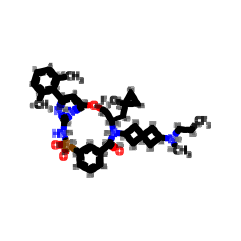 Cc1cccc(C)c1-c1cc2nc(n1)NS(=O)(=O)c1cccc(c1)C(=O)N(C1CC3(CC(N(C)CCC(F)(F)F)C3)C1)[C@H](CC1(C(F)(F)F)CC1)CO2